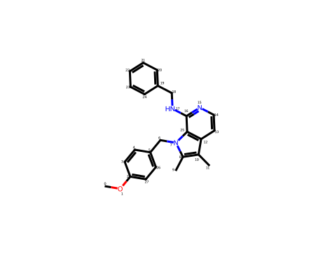 COc1ccc(Cn2c(C)c(C)c3ccnc(NCc4ccccc4)c32)cc1